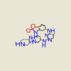 Cc1cnc(Nc2ccc(NC3CCNCC3)nc2)nc1Nc1ccc2oc(=O)[nH]c2c1